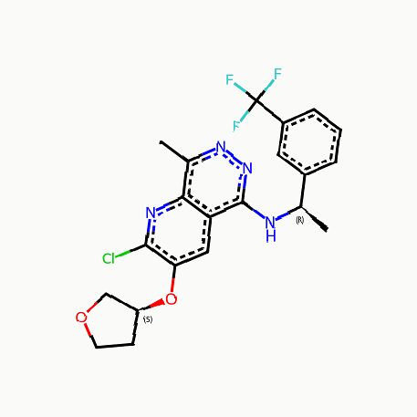 Cc1nnc(N[C@H](C)c2cccc(C(F)(F)F)c2)c2cc(O[C@H]3CCOC3)c(Cl)nc12